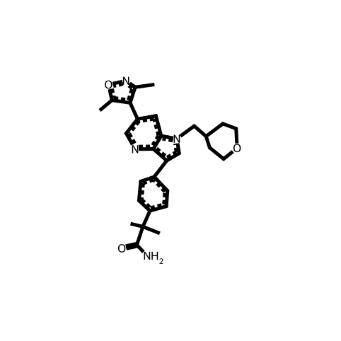 Cc1noc(C)c1-c1cnc2c(-c3ccc(C(C)(C)C(N)=O)cc3)cn(CC3CCOCC3)c2c1